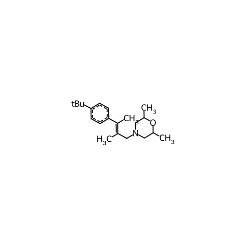 CC(CN1CC(C)OC(C)C1)=C(C)c1ccc(C(C)(C)C)cc1